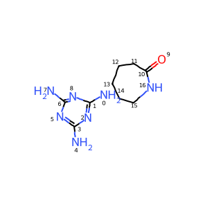 Nc1nc(N)nc(N)n1.O=C1CCCCCN1